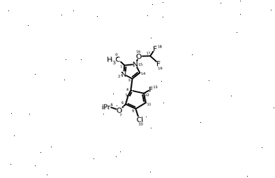 Cc1nc(-c2cc(OC(C)C)c(Cl)cc2F)cn1OC(F)F